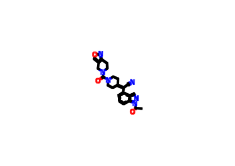 CC(=O)n1ncc2c(C(C#N)=C3CCN(C(=O)N4CCc5nocc5C4)CC3)cccc21